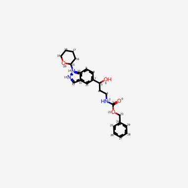 O=C(NCCC(O)c1ccc2c(cnn2C2CCCCO2)c1)OCc1ccccc1